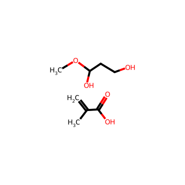 C=C(C)C(=O)O.COC(O)CCO